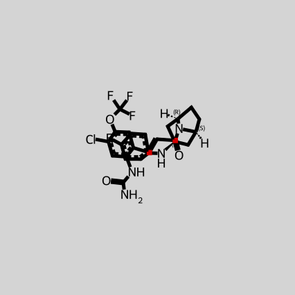 NC(=O)Nc1cc(Cl)c(OC(F)(F)F)cc1C=CC(=O)N1[C@@H]2CC[C@H]1C[C@@H](Nc1ccc(F)cc1)C2